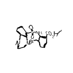 O=C(O)c1cccc(Br)c1NS(=O)(=O)c1cccc2nccnc12